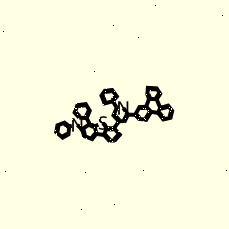 c1ccc(-c2cc(-c3cccc4c3sc3c4ccc4c3c3ccccc3n4-c3ccccc3)cc(-c3ccc4c5ccccc5c5ccccc5c4c3)n2)cc1